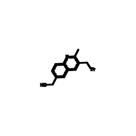 Cc1nc2ccc(CO)cc2cc1CC(C)C